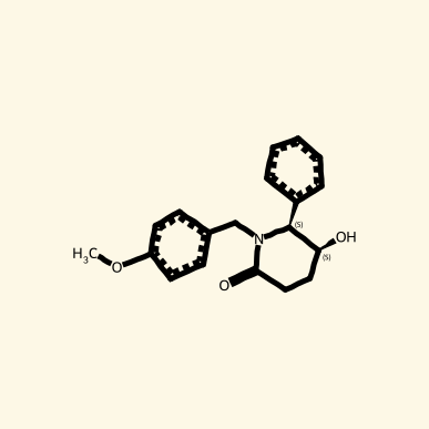 COc1ccc(CN2C(=O)CC[C@H](O)[C@@H]2c2ccccc2)cc1